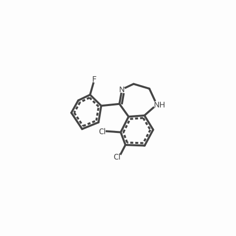 Fc1ccccc1C1=NCCNc2ccc(Cl)c(Cl)c21